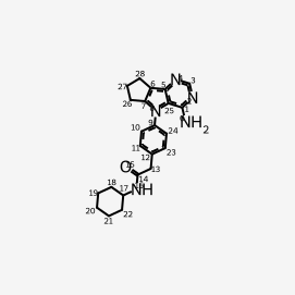 Nc1ncnc2c3c(n(-c4ccc(CC(=O)NC5CCCCC5)cc4)c12)CCC3